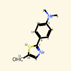 CN(C)c1ccc(-c2ncc(C=O)s2)cc1